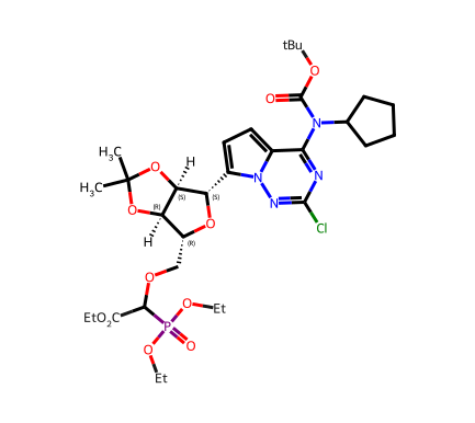 CCOC(=O)C(OC[C@H]1O[C@@H](c2ccc3c(N(C(=O)OC(C)(C)C)C4CCCC4)nc(Cl)nn23)[C@@H]2OC(C)(C)O[C@@H]21)P(=O)(OCC)OCC